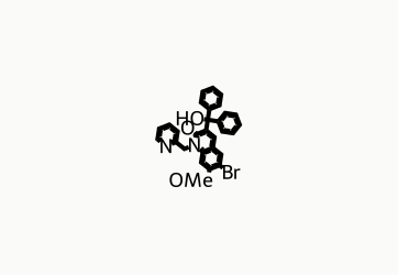 COc1cc2c(cc1Br)cc(C(O)(c1ccccc1)c1ccccc1)c(=O)n2Cc1ccccn1